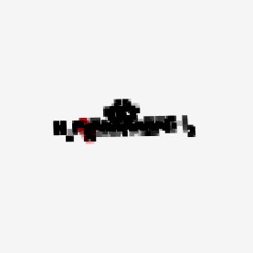 C1CCC2CCCCC2C1.CCCCCCCCCCCCCCCC(=O)OC